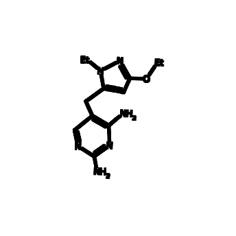 CCOc1cc(Cc2cnc(N)nc2N)n(CC)n1